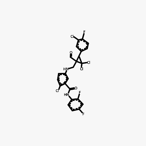 O=CC1(CNc2ccc(Cl)c(C(=O)Nc3ccc(F)cc3F)c2)C(c2ccc(F)c(Cl)c2)C1(Cl)Cl